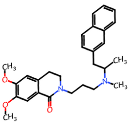 COc1cc2c(cc1OC)C(=O)N(CCCN(C)C(C)Cc1ccc3ccccc3c1)CC2